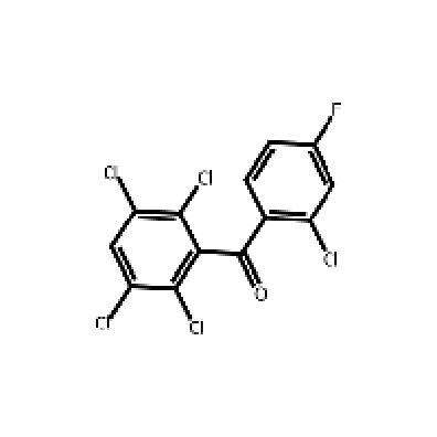 O=C(c1ccc(F)cc1Cl)c1c(Cl)c(Cl)cc(Cl)c1Cl